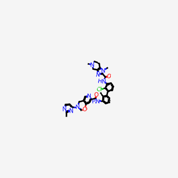 Cc1nccc(N2COc3cc(C(=O)Nc4cccc(-c5cccc(NC(=O)c6nc7c(n6C)CCN(C)C7)c5Cl)c4C)ncc3C2)n1